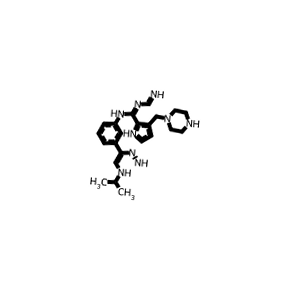 CC(C)N/C=C(\N=N)c1cccc(N/C(=N/C=N)c2[nH]ccc2CN2CCNCC2)c1